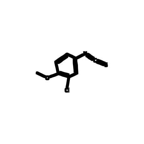 COc1ccc(N=C=S)cc1Cl